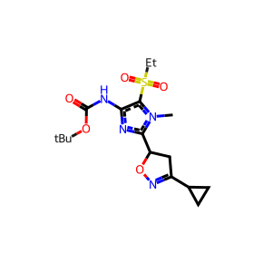 CCS(=O)(=O)c1c(NC(=O)OC(C)(C)C)nc(C2CC(C3CC3)=NO2)n1C